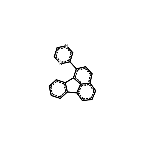 c1ccc2c(c1)-c1cccc3ccc(-c4cnccn4)c-2c13